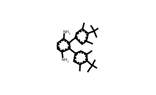 Cc1cc(-c2c(N)ccc(N)c2-c2cc(C)c(C(C)(C)C)c(C)c2)cc(C)c1C(C)(C)C